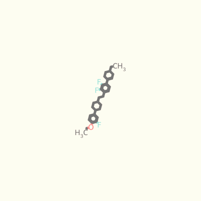 CCOc1ccc(C2CCC(CCc3ccc(C4=CCC(CC)CC4)c(F)c3F)CC2)cc1F